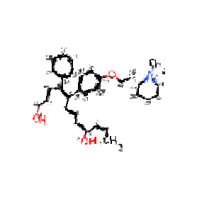 C\C=C/C(O)=C\C=C\C(=C(/CCCO)c1ccccc1)c1ccc(OCC[C@H]2CCCCN2C)cc1